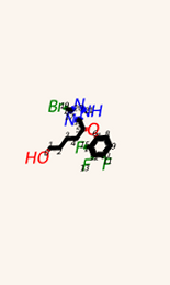 OCCCCC(Oc1ccc(F)c(F)c1F)c1nc(Br)n[nH]1